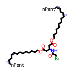 CCCCC/C=C\C/C=C\CCCCCCCCOC(=O)CC(CC(=O)OCCCCCCCC/C=C\C/C=C\CCCCC)NC(=O)CBr